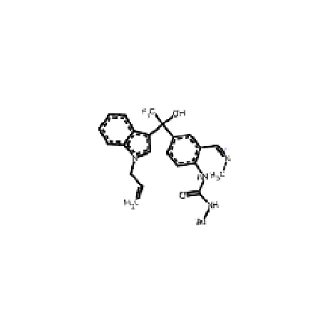 C=CCn1cc(C(O)(c2ccc(NC(=O)NC(C)CC)c(/C=N\C)c2)C(F)(F)F)c2ccccc21